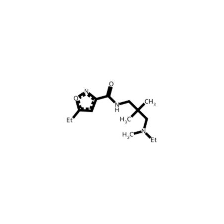 CCc1cc(C(=O)NCC(C)(C)CN(C)CC)no1